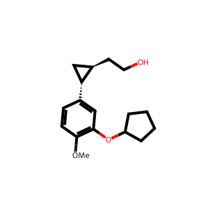 COc1ccc([C@@H]2C[C@H]2CCO)cc1OC1CCCC1